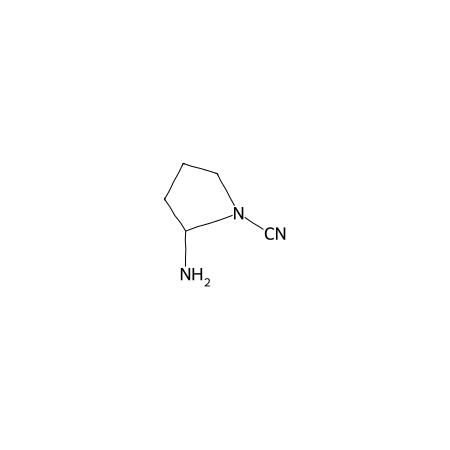 N#CN1CCCC1N